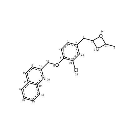 CC1OC(Cc2ccc(OCc3ccc4ccccc4n3)c(Cl)c2)O1